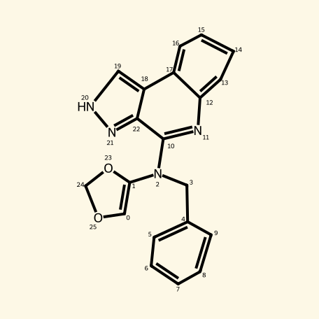 C1=C(N(Cc2ccccc2)c2nc3ccccc3c3c[nH]nc23)OCO1